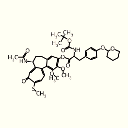 COc1c(OC(=O)C(Cc2ccc(OC3CCCCO3)cc2)NC(=O)OC(C)(C)C)cc2c(c1OC)-c1ccc(SC)c(=O)cc1[C@@H](NC(C)=O)CC2